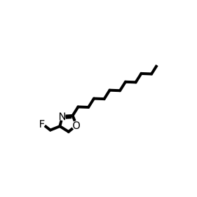 CCCCCCCCCCCC1=NC(CF)CO1